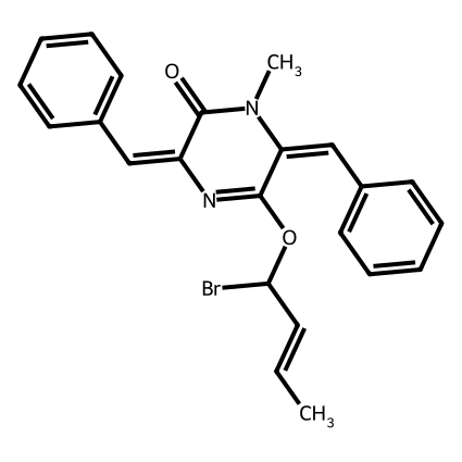 CC=CC(Br)Oc1nc(=Cc2ccccc2)c(=O)n(C)c1=Cc1ccccc1